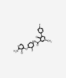 [CH2]n1cc(C(=O)Nc2ccc(Oc3ccnc(N)c3Cl)c(F)c2)c(=O)c(-c2ccc(F)cc2)c1